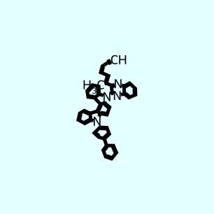 C#C/C=C\C=C(/C)c1nc2ccccc2nc1-n1c2ccccc2c2c3c4ccccc4n(-c4ccc(-c5ccccc5)cc4)c3ccc21